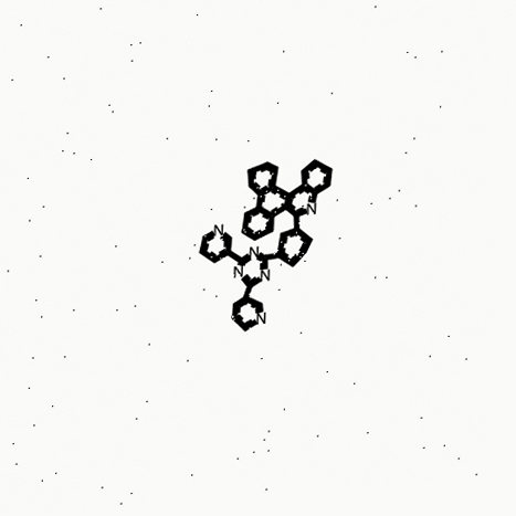 c1cncc(-c2nc(-c3cccnc3)nc(-c3cccc(-c4nc5ccccc5c5c6ccccc6c6ccccc6c45)c3)n2)c1